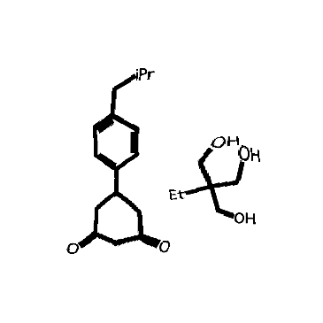 CC(C)Cc1ccc(C2CC(=O)CC(=O)C2)cc1.CCC(CO)(CO)CO